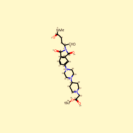 CNC(=O)CCC(C=O)N1C(=O)c2ccc(N3CCN(C4CCN(CC(=O)OC(C)(C)C)CC4)CC3)cc2C1=O